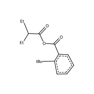 CCC(CC)C(=O)OC(=O)c1ccccc1C(C)(C)C